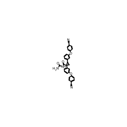 N#Cc1ccc(Oc2cccc(C3CC3(C(=O)NC(N)=O)c3cccc(Oc4ccc(C#N)cc4)c3)c2)cc1